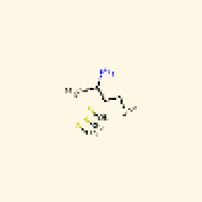 CC(N)C[CH2][Sn+3].C[S-].C[S-].C[S-]